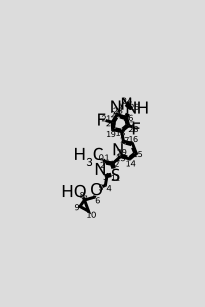 Cc1nc(COCC2(O)CC2)sc1-c1cccc(-c2cc(F)c3nn[nH]c3c2F)n1